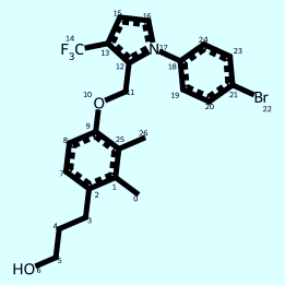 Cc1c(CCCO)ccc(OCc2c(C(F)(F)F)ccn2-c2ccc(Br)cc2)c1C